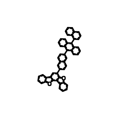 c1ccc2c(-c3c4ccccc4c(-c4ccc5cc(-c6cc7c8ccccc8oc7c7c6oc6ccccc67)ccc5c4)c4ccccc34)cccc2c1